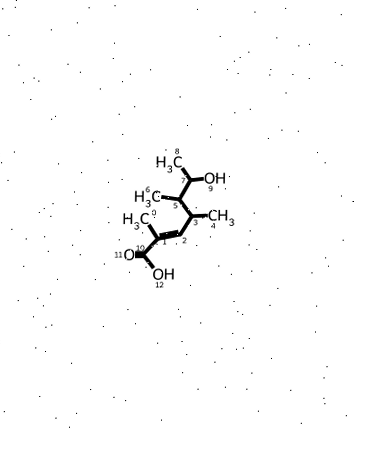 CC(=CC(C)C(C)C(C)O)C(=O)O